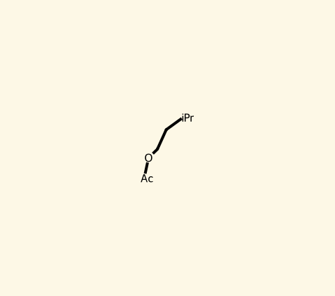 CC(=O)OCCC(C)C